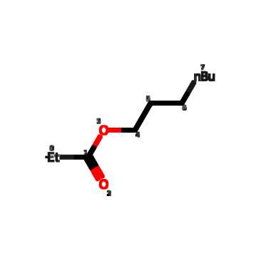 C[CH]C(=O)OCCCCCCC